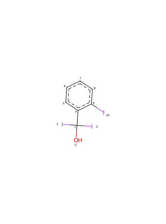 OC(I)(I)c1ccccc1I